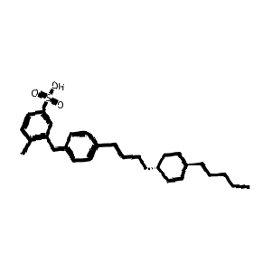 CCCCC[C@H]1CC[C@H](CCCCc2ccc(Cc3cc(S(=O)(=O)O)ccc3C)cc2)CC1